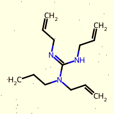 [CH2]CCN(CC=C)C(=NCC=C)NCC=C